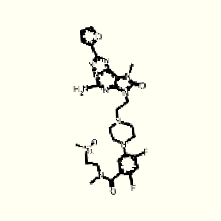 CN(CC[S@@+](C)[O-])C(=O)c1cc(N2CCN(CCn3c(=O)n(C)c4c3nc(N)n3nc(-c5ccco5)nc43)CC2)c(F)cc1F